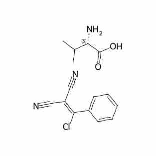 CC(C)[C@H](N)C(=O)O.N#CC(C#N)=C(Cl)c1ccccc1